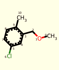 COCc1cc(Cl)ccc1C